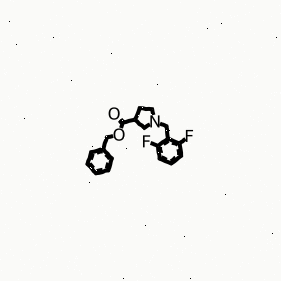 O=C(OCc1ccccc1)C1CCN(Cc2c(F)cccc2F)C1